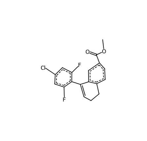 COC(=O)c1ccc2c(c1)C(c1c(F)cc(Cl)cc1F)=CCC2